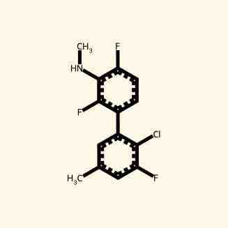 CNc1c(F)ccc(-c2cc(C)cc(F)c2Cl)c1F